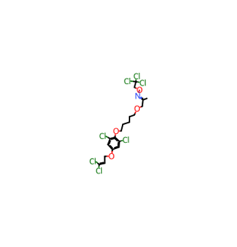 CC(COCCCCCOc1c(Cl)cc(OCC=C(Cl)Cl)cc1Cl)=NOCC(Cl)(Cl)Cl